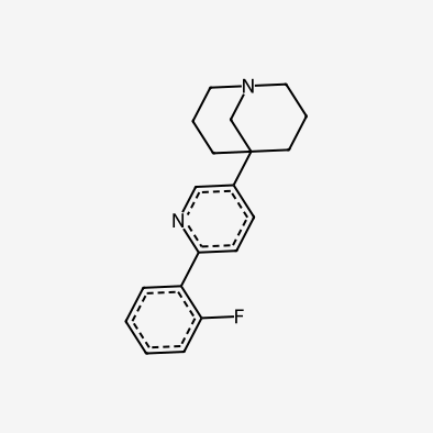 Fc1ccccc1-c1ccc(C23CCCN(CCC2)C3)cn1